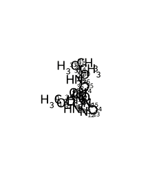 COc1cc(O)cc(Nc2nc3ccccc3nc2NS(=O)(=O)c2cccc(NC(=O)CC(C)(C)C)c2)c1